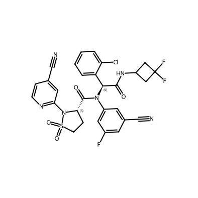 N#Cc1cc(F)cc(N(C(=O)[C@@H]2CCS(=O)(=O)N2c2cc(C#N)ccn2)[C@H](C(=O)NC2CC(F)(F)C2)c2ccccc2Cl)c1